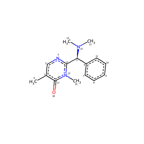 Cc1cnc([C@H](c2ccccc2)N(C)C)n(C)c1=O